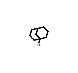 N#CC12CCCC(CCC1)C2